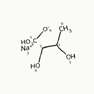 CC(O)CO.O=C([O-])O.[Na+]